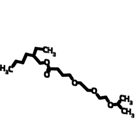 CCCCC(CC)COC(=O)CCCOCCOCCOC(C)C